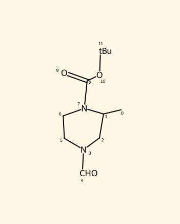 CC1CN(C=O)CCN1C(=O)OC(C)(C)C